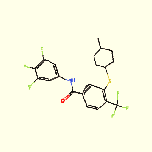 CC1CCC(Sc2cc(C(=O)Nc3cc(F)c(F)c(F)c3)ccc2C(F)(F)F)CC1